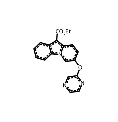 CCOC(=O)c1c2ccccc2n2cc(Oc3cnccn3)ccc12